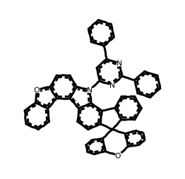 c1ccc(-c2cc(-n3c4ccc5oc6ccccc6c5c4c4ccc5c(c43)-c3ccccc3C53c4ccccc4Oc4ccccc43)nc(-c3ccccc3)n2)cc1